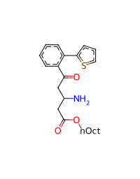 CCCCCCCCOC(=O)CC(N)CC(=O)c1ccccc1-c1cccs1